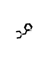 CCN(CC)Cc1ccc[c]n1